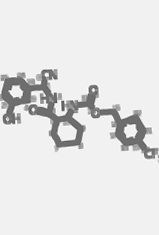 N#CC(NC(=O)C1CCCCC1NC(=O)OCc1ccc(C(F)(F)F)cc1)c1cccc(O)c1